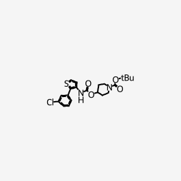 CC(C)(C)OC(=O)N1CCC(OC(=O)Nc2ccsc2-c2cccc(Cl)c2)CC1